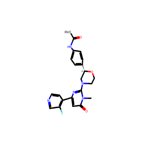 COC(=O)Nc1ccc([C@H]2CN(c3nc(-c4ccncc4F)cc(=O)n3C)CCO2)cc1